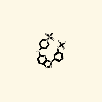 CS(=O)(=O)N1CCC(Nc2ccc3nnn(-c4cccc(OC(F)(F)F)c4)c3n2)CC1